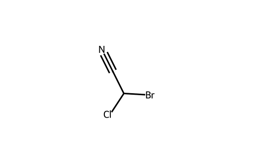 N#CC(Cl)Br